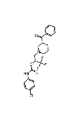 O=C(Nc1ccc(Cl)cc1)O[C@@H](CN1CCCC(C(=O)c2ccccc2)C1)C(F)(F)F